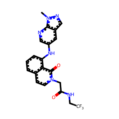 Cn1ncc2cc(Nc3cccc4ccn(CC(=O)NCC(F)(F)F)c(=O)c34)cnc21